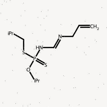 C=CCN=CNP(=S)(OC(C)C)SCC(C)C